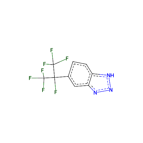 FC(F)(F)C(F)(c1ccc2[nH]nnc2c1)C(F)(F)F